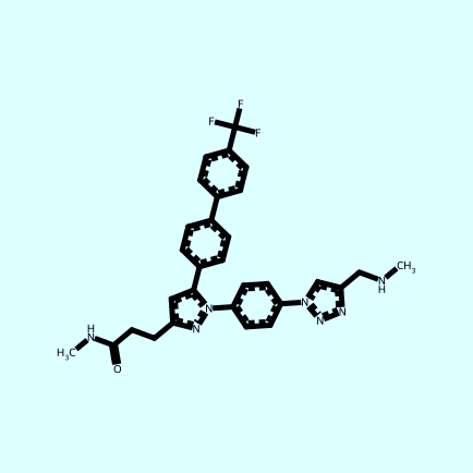 CNCc1cn(-c2ccc(-n3nc(CCC(=O)NC)cc3-c3ccc(-c4ccc(C(F)(F)F)cc4)cc3)cc2)nn1